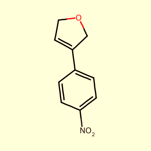 O=[N+]([O-])c1ccc(C2=CCOC2)cc1